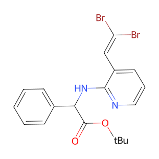 CC(C)(C)OC(=O)C(Nc1ncccc1C=C(Br)Br)c1ccccc1